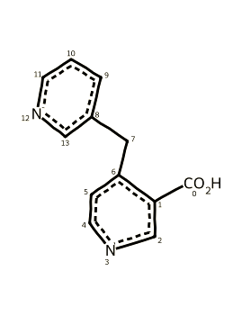 O=C(O)c1cnccc1Cc1cccnc1